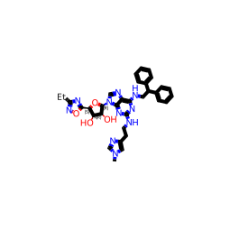 CCc1noc([C@H]2O[C@@H](n3cnc4c(NCC(c5ccccc5)c5ccccc5)nc(NCCc5cn(C)cn5)nc43)[C@H](O)[C@@H]2O)n1